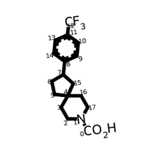 O=C(O)N1CCC2(CCC(c3ccc(C(F)(F)F)cc3)C2)CC1